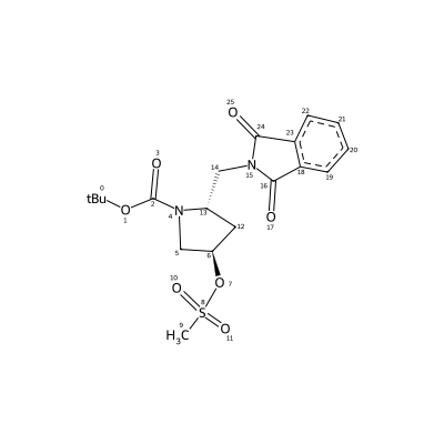 CC(C)(C)OC(=O)N1C[C@H](OS(C)(=O)=O)C[C@H]1CN1C(=O)c2ccccc2C1=O